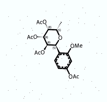 COc1cc(OC(C)=O)ccc1[C@@H]1O[C@@H](C)[C@@H](OC(C)=O)[C@@H](OC(C)=O)[C@@H]1OC(C)=O